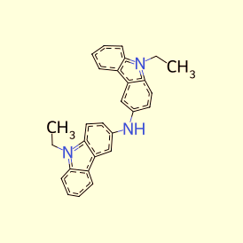 CCn1c2ccccc2c2cc(Nc3ccc4c(c3)c3ccccc3n4CC)ccc21